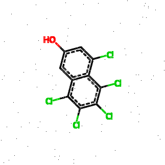 Oc1cc(Cl)c2c(Cl)c(Cl)c(Cl)c(Cl)c2c1